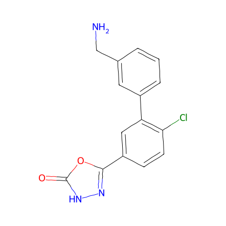 NCc1cccc(-c2cc(-c3n[nH]c(=O)o3)ccc2Cl)c1